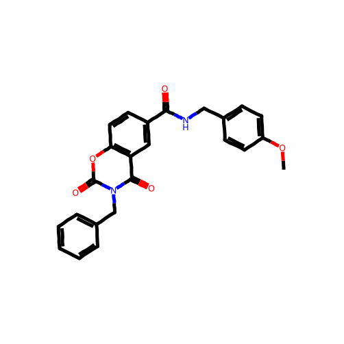 COc1ccc(CNC(=O)c2ccc3oc(=O)n(Cc4ccccc4)c(=O)c3c2)cc1